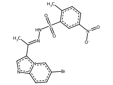 CC(=NNS(=O)(=O)c1cc([N+](=O)[O-])ccc1C)c1cnc2ccc(Br)cn12